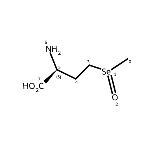 C[Se](=O)CC[C@H](N)C(=O)O